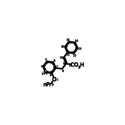 CCCOc1ncccc1CC(=Cc1ccccc1)C(=O)O